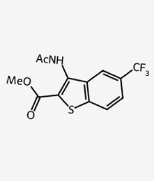 COC(=O)c1sc2ccc(C(F)(F)F)cc2c1NC(C)=O